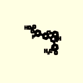 Cn1cc(/C(CC(c2ccc(-c3ccc(OC(=O)O)c(F)c3)cc2)c2ccccc2Cl)=N/O)ccc1=O